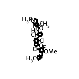 COc1c(CN2CCC(C)C2)cc(Cl)c(OC2CCc3ccc(-c4cccc(NC(=O)c5nc6c(n5C)CCN(C)C6)c4Cl)c(Cl)c32)c1F